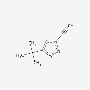 C#Cc1cc(C(C)(C)C)on1